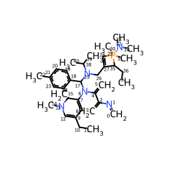 C=NC(=C)C(=C)N(C1=CC(CC)=CN(C)C1=C)C(c1ccc(C)cc1)N(CC1=CP(C)(C)(N(C)C)C1CC)C(C)C